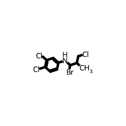 CC(CCl)C(Br)Nc1ccc(Cl)c(Cl)c1